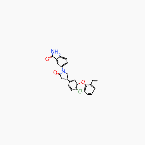 C=Cc1ccccc1Oc1cc([C@H]2CC(=O)N(c3cccc(C(N)=O)c3)C2)ccc1Cl